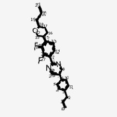 CCCc1ccc(-c2cnc(-c3ccc(C4CCC(CCC)OC4)c(F)c3F)nc2)cc1